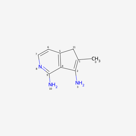 CC1=C(N)c2c(ccnc2N)C1